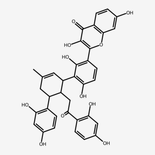 CC1=CC(c2c(O)ccc(-c3oc4cc(O)ccc4c(=O)c3O)c2O)C(CC(=O)c2ccc(O)cc2O)C(c2ccc(O)cc2O)C1